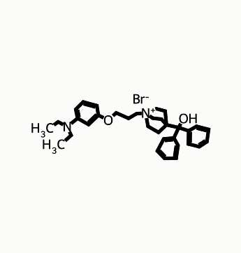 CCN(CC)c1cccc(OCCC[N+]23CCC(C(O)(c4ccccc4)c4ccccc4)(CC2)CC3)c1.[Br-]